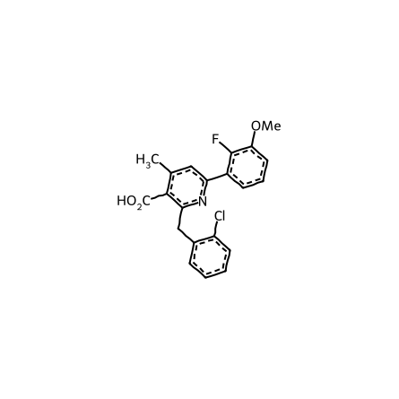 COc1cccc(-c2cc(C)c(C(=O)O)c(Cc3ccccc3Cl)n2)c1F